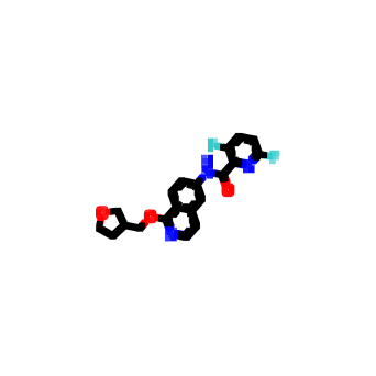 O=C(Nc1ccc2c(OCC3CCOC3)nccc2c1)c1nc(F)ccc1F